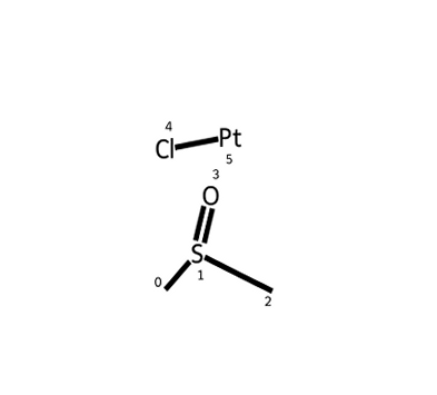 CS(C)=O.[Cl][Pt]